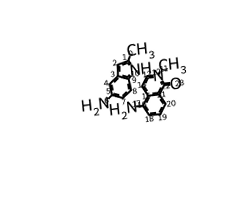 Cc1cc2cc(N)ccc2[nH]1.Cn1ccc2c(N)cccc2c1=O